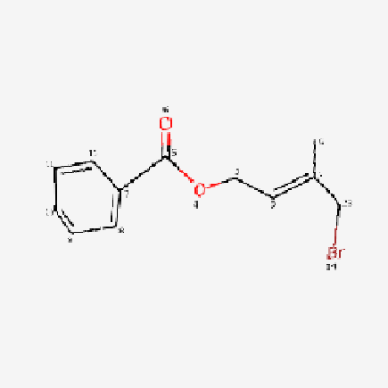 C/C(=C\COC(=O)c1ccccc1)CBr